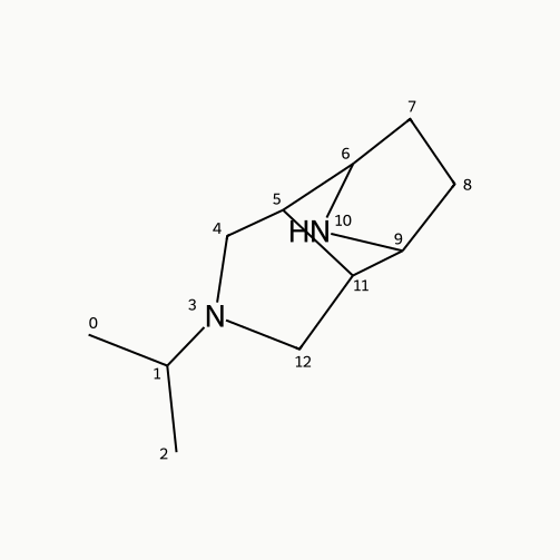 CC(C)N1CC2C3CCC(N3)C2C1